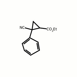 CCOC(=O)C1CC1(C#N)c1ccccc1